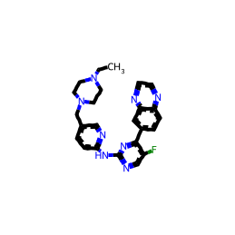 CCN1CCN(Cc2ccc(Nc3ncc(F)c(-c4ccc5nccnc5c4)n3)nc2)CC1